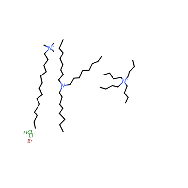 CCCCCCCCCCCCCC[N+](C)(C)C.CCCCCCCCN(CCCCCCCC)CCCCCCCC.CCCC[N+](CCCC)(CCCC)CCCC.Cl.[Br-].[Cl-]